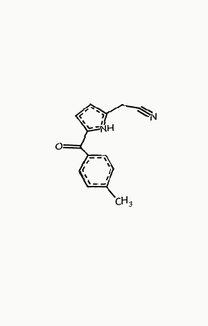 Cc1ccc(C(=O)c2ccc(CC#N)[nH]2)cc1